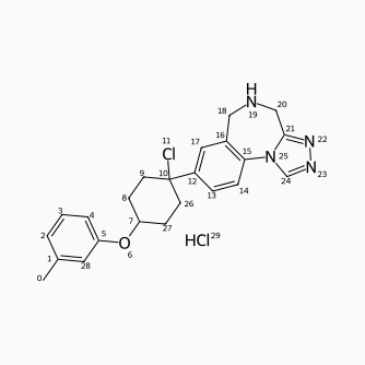 Cc1cccc(OC2CCC(Cl)(c3ccc4c(c3)CNCc3nncn3-4)CC2)c1.Cl